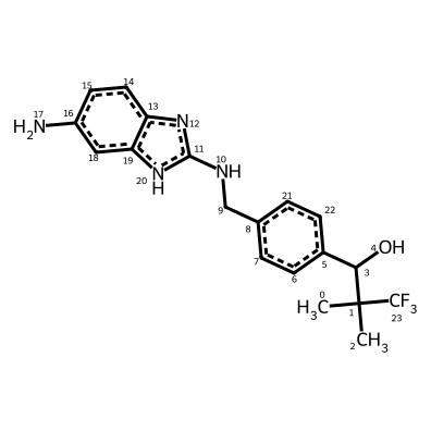 CC(C)(C(O)c1ccc(CNc2nc3ccc(N)cc3[nH]2)cc1)C(F)(F)F